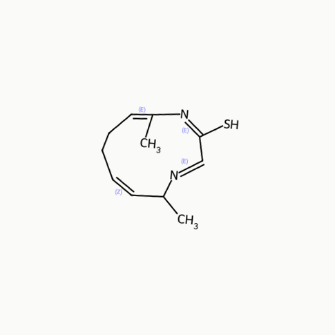 CC1=C\CC/C=C\C(C)/N=C/C(S)=N\1